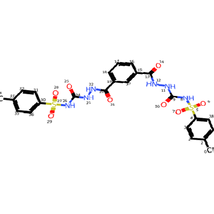 Cc1ccc(S(=O)(=O)NC(=O)NNC(=O)c2cccc(C(=O)NNC(=O)NS(=O)(=O)c3ccc(C)cc3)c2)cc1